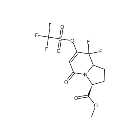 COC(=O)[C@@H]1CCC2N1C(=O)C=C(OS(=O)(=O)C(F)(F)F)C2(F)F